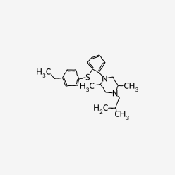 C=C(C)CN1CC(C)N(c2ccccc2Sc2ccc(CC)cc2)CC1C